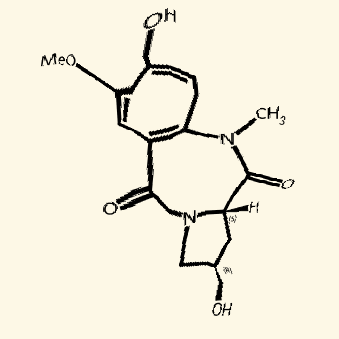 COc1cc2c(cc1O)N(C)C(=O)[C@@H]1C[C@@H](O)CN1C2=O